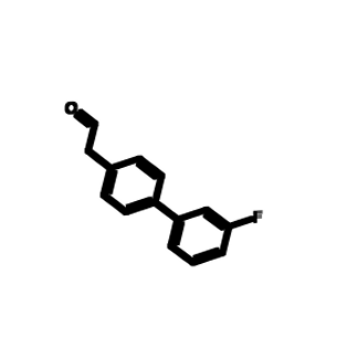 O=CCc1ccc(-c2cccc(F)c2)cc1